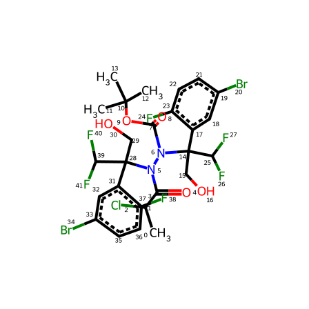 CC(Cl)C(=O)N(N(C(=O)OC(C)(C)C)C(CO)(c1cc(Br)ccc1F)C(F)F)C(CO)(c1cc(Br)ccc1F)C(F)F